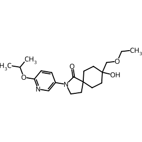 CCOCC1(O)CCC2(CCN(c3ccc(OC(C)C)nc3)C2=O)CC1